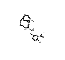 Cn1cnc2ccnc(NCc3ccc(Cl)c([N+](=O)[O-])c3)c21